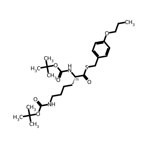 CCCOc1ccc(CSC(=O)[C@H](CCCCNC(=O)OC(C)(C)C)NC(=O)OC(C)(C)C)cc1